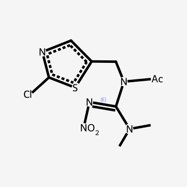 CC(=O)N(Cc1cnc(Cl)s1)/C(=N/[N+](=O)[O-])N(C)C